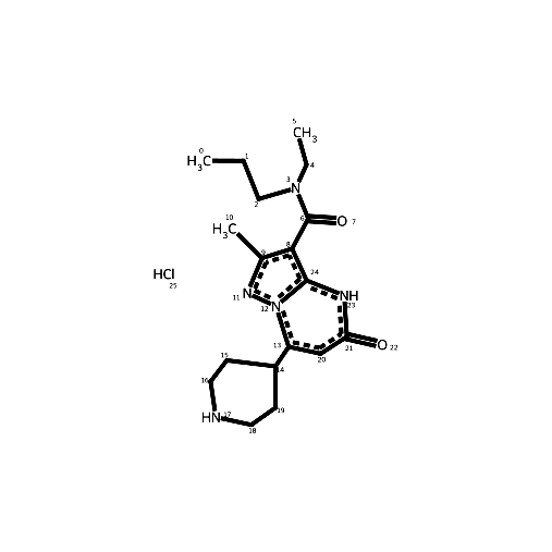 CCCN(CC)C(=O)c1c(C)nn2c(C3CCNCC3)cc(=O)[nH]c12.Cl